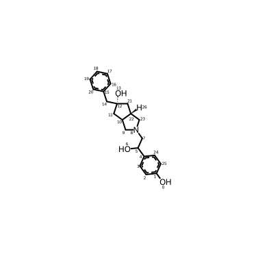 Oc1ccc(C(O)CN2CC3C[C@@](O)(Cc4ccccc4)C[C@@H]3C2)cc1